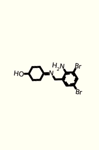 Nc1c(Br)cc(Br)cc1CN=C1CCC(O)CC1